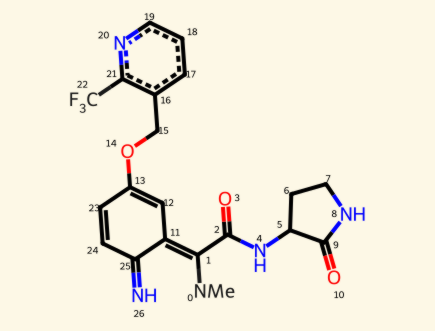 CN/C(C(=O)NC1CCNC1=O)=C1/C=C(OCc2cccnc2C(F)(F)F)C=CC1=N